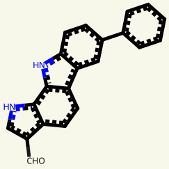 O=Cc1c[nH]c2c1ccc1c3cc(-c4ccccc4)ccc3[nH]c12